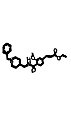 CCOC(=O)CCc1ccc(C(=O)NCC2CCN(Cc3ccccc3)CC2)c(OC)c1